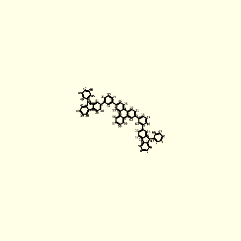 c1ccc(C2c3ccccc3-c3ccc(-c4cccc(-c5ccc6c7ccc(-c8cccc(-c9ccc%10c%11ccccc%11n(-c%11ccccc%11)c%10c9)c8)cc7c7ccccc7c6c5)c4)cc32)cc1